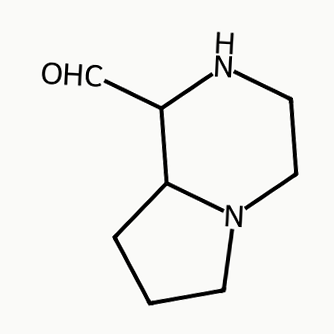 O=CC1NCCN2CCCC12